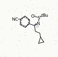 CC(C)(C)[S+]([O-])/N=C(/CCC1CC1)c1ccc(C#N)cc1